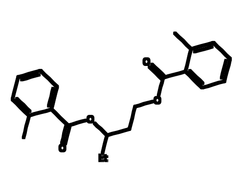 CCC(CCOC(=O)c1ccccc1C)OC(=O)c1ccccc1C